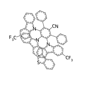 N#Cc1c(-c2ccccc2)c(-n2c3ccccc3c3cc(C(F)(F)F)ccc32)c(-n2c3ccccc3c3cc4sc5ccccc5c4cc32)c(-n2c3ccccc3c3cc(C(F)(F)F)ccc32)c1-c1ccccc1